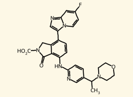 CC(c1ccc(Nc2ccc(-c3cnc4cc(F)ccn34)c3c2C(=O)N(C(=O)O)C3)nc1)N1CCOCC1